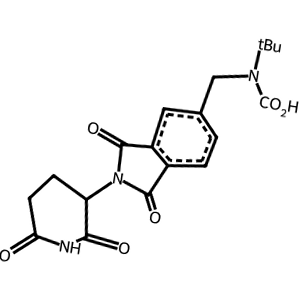 CC(C)(C)N(Cc1ccc2c(c1)C(=O)N(C1CCC(=O)NC1=O)C2=O)C(=O)O